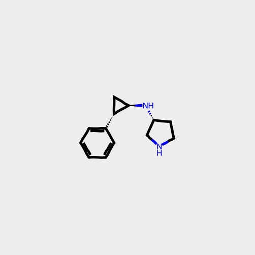 c1ccc([C@@H]2C[C@H]2N[C@@H]2CCNC2)cc1